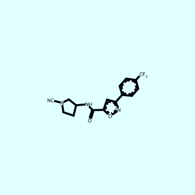 N#CN1CCC(NC(=O)c2cc(-c3ccc(C(F)(F)F)cc3)no2)C1